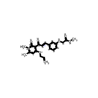 C=CCOc1cc(C)n(C)c(=O)c1C(=O)/C=C/c1cccc(OCC(=O)OC)c1